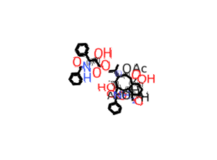 CC(=O)O[C@H]1C(=O)[C@@]2(C)[C@H]([C@H](OC(=O)c3ccccc3)[C@](O)(CN)[C@H](C)/C1=C(/C)COC(=O)[C@H](O)[C@@H](NC(=O)c1ccccc1)c1ccccc1)[C@]1(OC(C)=O)CO[C@@H]1C[C@@H]2O